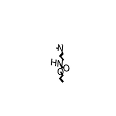 C=CCOC(=O)NCC=CN(C)C